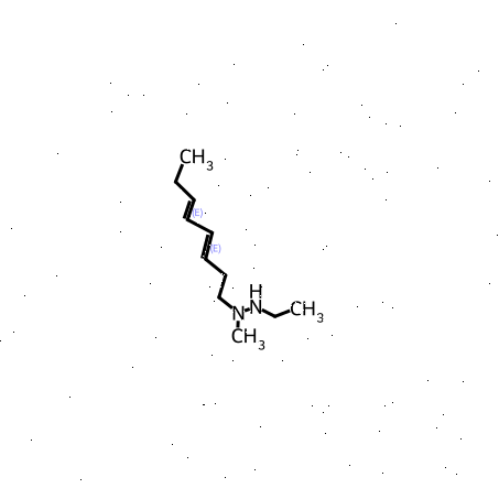 CC/C=C/C=C/CCN(C)NCC